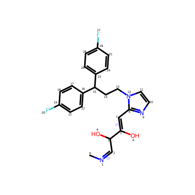 C/N=C\C(O)/C(O)=C/c1nccn1CCC(c1ccc(F)cc1)c1ccc(F)cc1